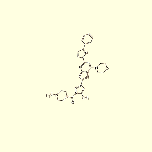 Cc1cc(-c2cc3nc(-n4ccc(-c5ccccc5)n4)cc(N4CCOCC4)n3n2)nn1C(=O)N1CCN(C)CC1